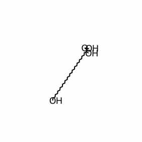 O=C(O)C(O)CCCCCCCCCCCCCCCCCCCCCCCCCCCO